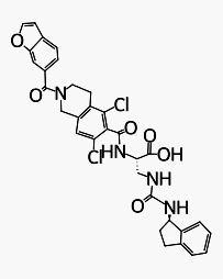 O=C(NC[C@H](NC(=O)c1c(Cl)cc2c(c1Cl)CCN(C(=O)c1ccc3ccoc3c1)C2)C(=O)O)N[C@@H]1CCc2ccccc21